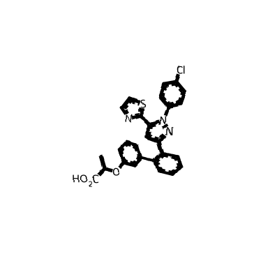 CC(Oc1cccc(-c2ccccc2-c2cc(-c3nccs3)n(-c3ccc(Cl)cc3)n2)c1)C(=O)O